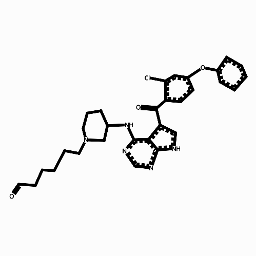 O=CCCCCCN1CCCC(Nc2ncnc3[nH]cc(C(=O)c4ccc(Oc5ccccc5)cc4Cl)c23)C1